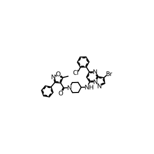 Cc1onc(-c2ccccc2)c1C(=O)N1CCC(Nc2cc(-c3ccccc3Cl)nc3c(Br)cnn23)CC1